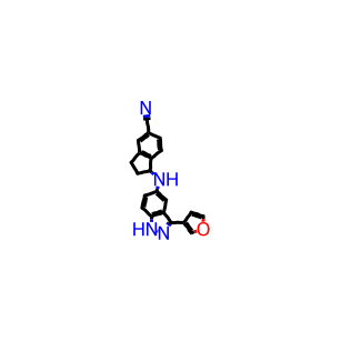 N#Cc1ccc2c(c1)CCC2Nc1ccc2[nH]nc(-c3ccoc3)c2c1